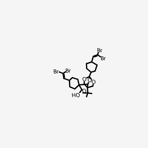 CC(C)(C)C12COC(C3CCC(C=C(Br)Br)CC3)(OC1)OC2C1(C(=O)O)CCC(C=C(Br)Br)CC1